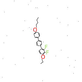 CCCCCOc1ccc(-c2ccc(-c3ccc(OCCC)c(F)c3F)cc2)cc1